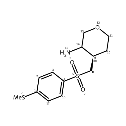 CSc1ccc(S(=O)(=O)C[C@@H]2CCOCC2N)cc1